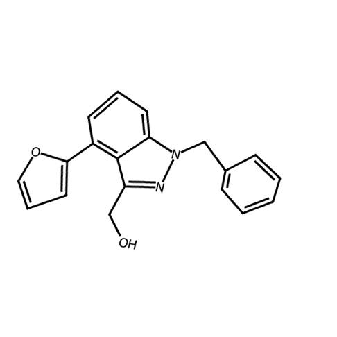 OCc1nn(Cc2ccccc2)c2cccc(-c3ccco3)c12